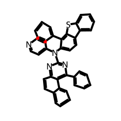 c1ccc(-c2c(N(c3ccncc3)c3nc(-c4ccccc4)c4c(ccc5ccccc54)n3)ccc3c2sc2ccccc23)cc1